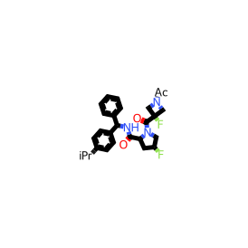 CC(=O)N1CC(F)(C(=O)N2CC(F)CC2C(=O)NC(c2ccccc2)c2ccc(C(C)C)cc2)C1